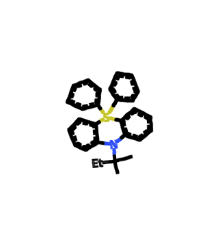 CCC(C)(C)N1c2ccccc2S(c2ccccc2)(c2ccccc2)c2ccccc21